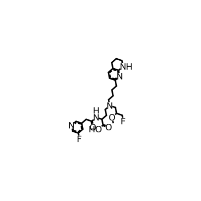 COC(CF)CN(CCCCc1ccc2c(n1)NCCC2)CCC(NC(=O)Cc1cncc(F)c1)C(=O)O